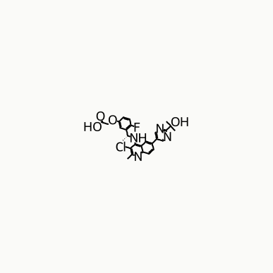 Cc1nc2ccc(-c3cnc(C(C)(C)O)nc3)cc2c(N[C@H](C)c2cc(OCC(=O)O)ccc2F)c1Cl